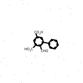 O=Cc1c(C(=O)O)cc(C(=O)O)cc1-c1ccccc1